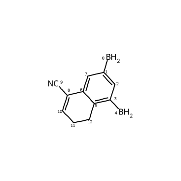 Bc1cc(B)c2c(c1)C(C#N)=CCC2